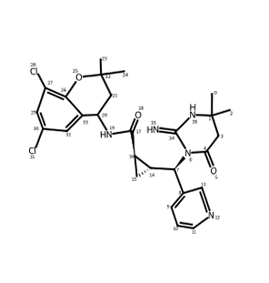 CC1(C)CC(=O)N([C@@H](c2cccnc2)[C@@H]2C[C@H]2C(=O)NC2CC(C)(C)Oc3c(Cl)cc(Cl)cc32)C(=N)N1